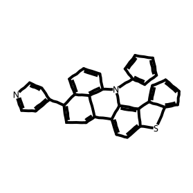 c1ccc(N2c3cccc4c(-c5ccncc5)ccc(c34)-c3ccc4sc5ccccc5c4c32)cc1